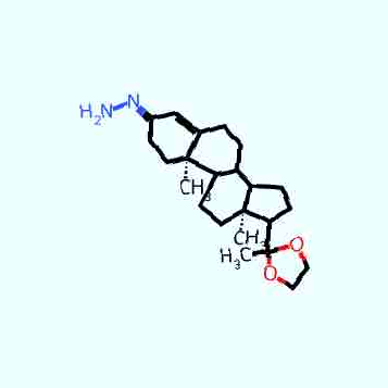 CC1(C2CCC3C4CCC5=C/C(=N/N)CC[C@]5(C)C4CC[C@@]32C)OCCO1